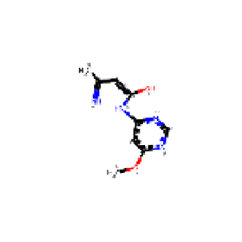 COc1cc(N/C(O)=C\C(C)=N)ncn1